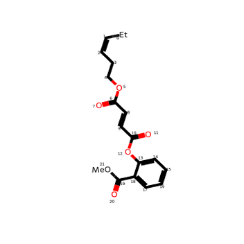 CC/C=C\CCOC(=O)/C=C/C(=O)Oc1ccccc1C(=O)OC